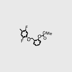 COC(=O)Oc1ccccc1COc1cc(F)c(C)cc1F